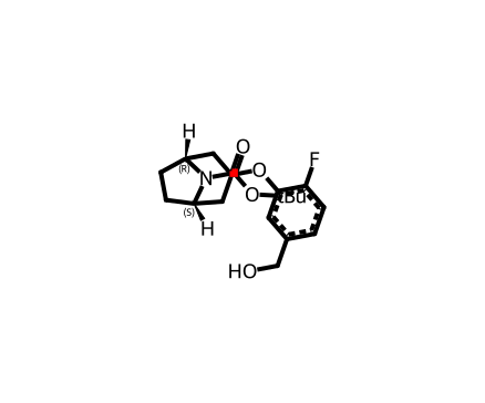 CC(C)(C)OC(=O)N1[C@@H]2CC[C@H]1CC(Oc1cc(CO)ccc1F)C2